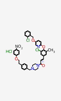 Cc1cc(/C=C/C(=O)N2CCN(Cc3ccc(CCOc4ccc([N+](=O)[O-])cc4)cc3)CC2)cc(Cl)c1Oc1ccc(OCc2ccccc2Cl)cn1.Cl